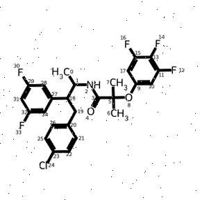 CC(NC(=O)C(C)(C)Oc1cc(F)c(F)c(F)c1)C(Cc1ccc(Cl)cc1)c1cc(F)cc(F)c1